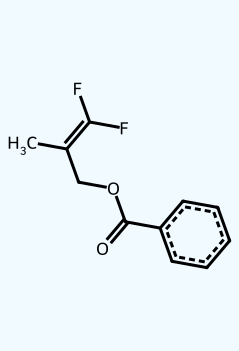 CC(COC(=O)c1ccccc1)=C(F)F